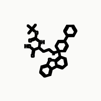 CC(C)(C)OC(=O)NC(CCSC1(c2cccc3c2oc2ccccc23)C=CC(c2ccccc2)=CC1)C(=O)O